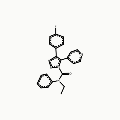 CCN(C(=O)n1nnc(-c2ccc(F)cc2)c1-c1ccncc1)c1ccccc1